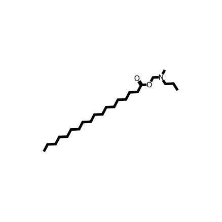 CCCCCCCCCCCCCCCCCC(=O)OCN(C)CCC